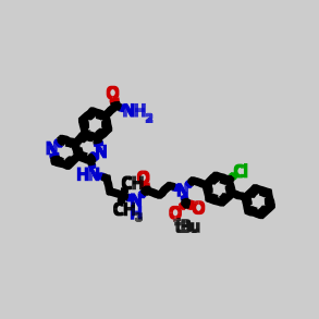 CC(C)(CCNc1nc2cc(C(N)=O)ccc2c2cnccc12)NC(=O)CCN(Cc1ccc(-c2ccccc2)c(Cl)c1)C(=O)OC(C)(C)C